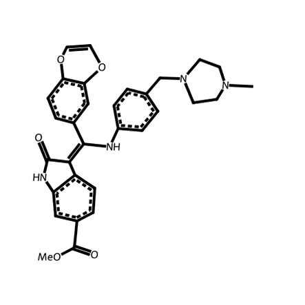 COC(=O)c1ccc2c(c1)NC(=O)C2=C(Nc1ccc(CN2CCN(C)CC2)cc1)c1ccc2c(c1)OC=CO2